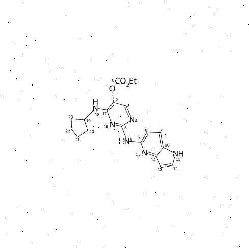 CCOC(=O)Oc1cnc(Nc2ccc3[nH]ccc3n2)nc1NC1CCCC1